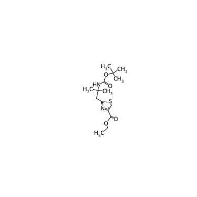 CCOC(=O)c1csc(CC(C)(C)NC(=O)OC(C)(C)C)n1